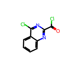 O=C(Cl)c1nc(Cl)c2ccccc2n1